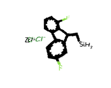 Fc1ccc2c(c1)C(C[SiH3])c1c(F)cccc1-2.[Cl-].[Cl-].[Zr+2]